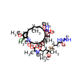 COCC(C)(CCC(=O)N(C)[C@@H](C)C(=O)O[C@H]1CC(=O)N(C)c2cc(cc(OC)c2Cl)C/C(C)=C/C=C/[C@@H](OC)[C@@]2(O)C[C@H](OC(=O)N2)[C@@H](C)[C@@H]2O[C@@]12C)SSCCCC(=O)NNI